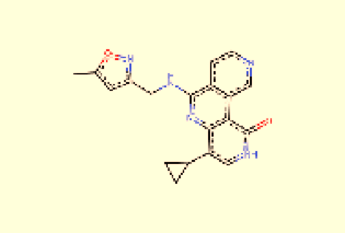 Cc1cc(CNc2nc3c(C4CC4)c[nH]c(=O)c3c3cnccc23)no1